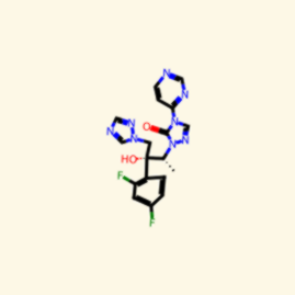 C[C@@H](n1ncn(-c2ccncn2)c1=O)[C@](O)(Cn1cncn1)c1ccc(F)cc1F